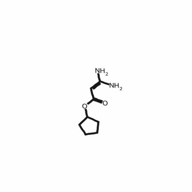 NC(N)=CC(=O)OC1CCCC1